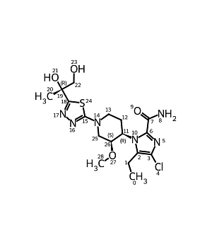 CCc1c(Cl)nc(C(N)=O)n1[C@@H]1CCN(c2nnc([C@](C)(O)CO)s2)C[C@@H]1OC